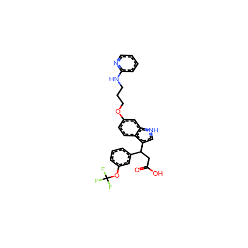 O=C(O)CC(c1cccc(OC(F)(F)F)c1)c1c[nH]c2cc(OCCCNc3ccccn3)ccc12